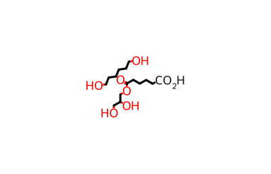 O=C(O)CCCCC(=O)OCC(O)CO.OCCCCCCO